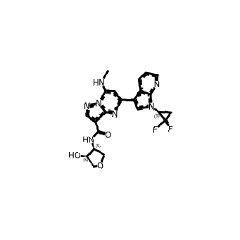 CNc1cc(-c2cn([C@H]3CC3(F)F)c3ncccc23)nc2c(C(=O)N[C@H]3COC[C@H]3O)cnn12